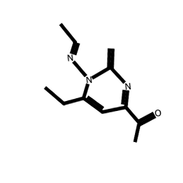 C=C1N=C(C(C)=O)C=C(CC)N1/N=C/C